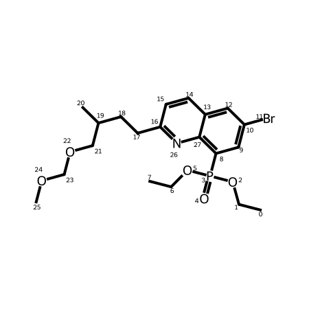 CCOP(=O)(OCC)c1cc(Br)cc2ccc(CCC(C)COCOC)nc12